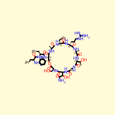 CC(C)C[C@@H](N)C(=O)N[C@@H](CC(C)C)C(=O)N[C@@H]1C(=O)N[C@@H](C)C(=O)N[C@@H](CC(C)C)C(=O)N[C@H](CCCNC(=N)N)C(=O)N[C@@H](C)C(=O)N[C@@H]([C@H](C)O)C(=O)NCC(=O)NC(C(O)C(N)=O)C(=O)N[C@@H](CO)C(=O)O[C@@H]1c1ccccc1